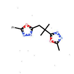 Cc1nnc(C(C)(C)Cc2nnc(C(C)C)o2)o1